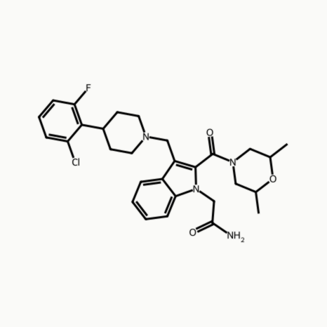 CC1CN(C(=O)c2c(CN3CCC(c4c(F)cccc4Cl)CC3)c3ccccc3n2CC(N)=O)CC(C)O1